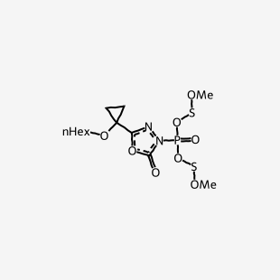 CCCCCCOC1(c2nn(P(=O)(OSOC)OSOC)c(=O)o2)CC1